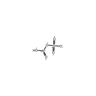 O=[N+](O)OS(=O)(=O)[O-]